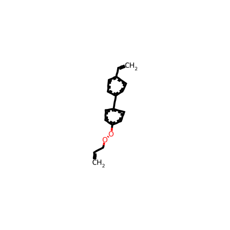 C=CCOOc1ccc(-c2ccc(C=C)cc2)cc1